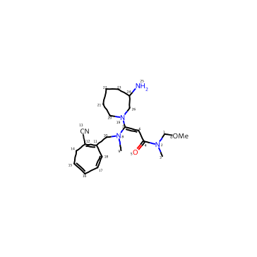 COCN(C)C(=O)/C=C(\N(C)CC1=C(C#N)CC=CC=C1)N1CCCCC(N)C1